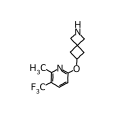 Cc1nc(OC2CC3(CNC3)C2)ccc1C(F)(F)F